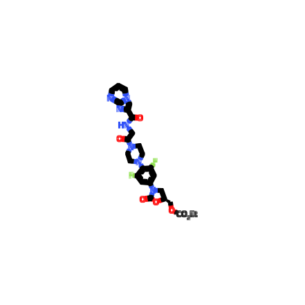 CCOC(=O)OC[C@H]1CN(c2cc(F)c(N3CCN(C(=O)CNC(=O)c4cn5cccnc5n4)CC3)c(F)c2)C(=O)O1